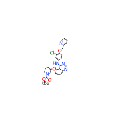 CC(C)(C)OC(=O)N1CCC[C@H](Oc2cccc3ncnc(Nc4ccc(OCc5ccccn5)c(Cl)c4)c23)C1